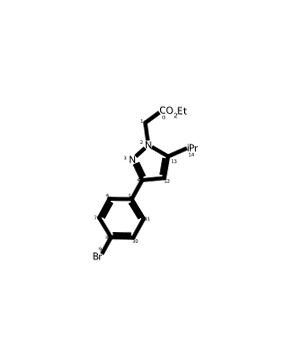 CCOC(=O)Cn1nc(-c2ccc(Br)cc2)cc1C(C)C